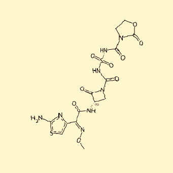 CON=C(C(=O)N[C@H]1CN(C(=O)NS(=O)(=O)NC(=O)N2CCOC2=O)C1=O)c1csc(N)n1